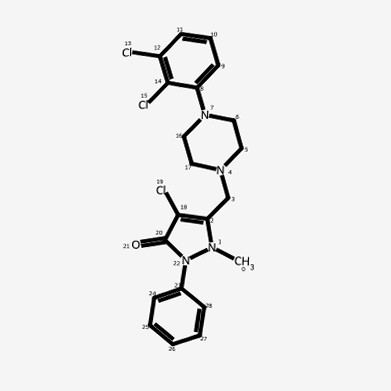 Cn1c(CN2CCN(c3cccc(Cl)c3Cl)CC2)c(Cl)c(=O)n1-c1ccccc1